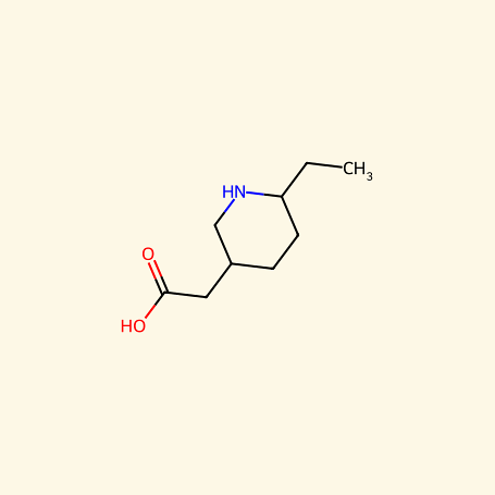 CCC1CCC(CC(=O)O)CN1